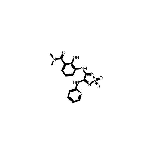 CN(C)C(=O)c1cccc(NC2=NS(=O)(=O)N=C2Nc2ccccn2)c1O